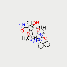 Cc1c(O)c(C)c2c(c1C(N)=O)OC(C)(C)C2c1c(N)n(-c2cccc3ccccc23)c(=O)n(C)c1=O